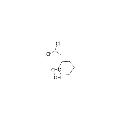 C1CCCCC1.CC(Cl)Cl.O=CO